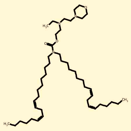 CCCCC/C=C\C/C=C\CCCCCCCCN(CCCCCCCC/C=C\C/C=C\CCCCC)C(=O)OCCN(CC)CCN1CCOCC1